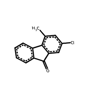 Cc1cc(Cl)cc2c1-c1ccccc1C2=O